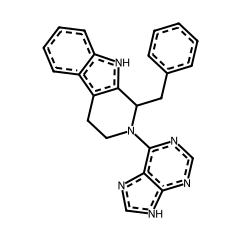 c1ccc(CC2c3[nH]c4ccccc4c3CCN2c2ncnc3[nH]cnc23)cc1